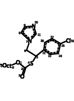 CCCCCCCCOC(=O)SC(Cn1ccnc1)c1ccc(Cl)cc1